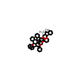 CC1(C)c2ccccc2-c2ccc(N(c3ccc(-c4ccccc4)cc3-c3ccccc3)c3ccccc3C3(c4ccccc4)c4ccccc4C4(c5ccccc5)c5ccccc5-c5cccc3c54)cc21